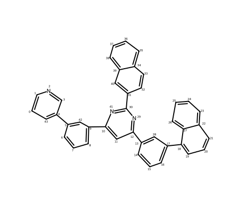 c1cncc(-c2cccc(-c3cc(-c4cccc(-c5cccc6ccccc56)c4)nc(-c4ccc5ccccc5c4)n3)c2)c1